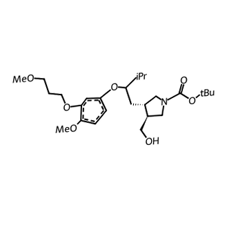 COCCCOc1cc(OC(C[C@@H]2CN(C(=O)OC(C)(C)C)C[C@H]2CO)C(C)C)ccc1OC